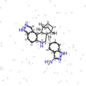 Nc1n[nH]c2ccc([C@@H]3Nc4ccc5[nH]ncc5c4[C@H]4[C@@H]5CC[C@@H](C5)[C@H]43)cc12